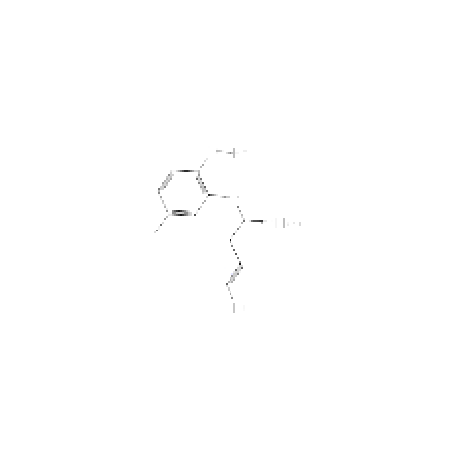 CC/C=C/C[C@H](CCCCCC)Oc1cc(C)ccc1OCC